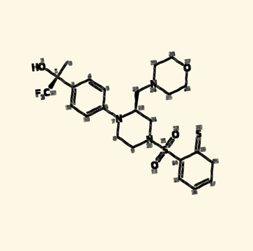 C[C@@](O)(c1ccc(N2CCN(S(=O)(=O)C3=CC=CCC3=S)C[C@@H]2CN2CCOCC2)cc1)C(F)(F)F